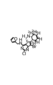 [2H]C1=C([2H])C([2H])([2H])[C@@H](c2sc3c(NCc4ccco4)nc(Cl)nc3c2Br)[C@H](N)C1([2H])[2H]